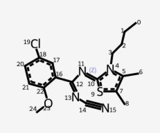 CCCCn1c(C)c(C)s/c1=N\C(=NC#N)c1cc(Cl)ccc1OC